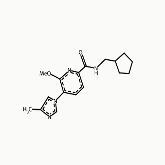 COc1nc(C(=O)NCC2CCCC2)ccc1-n1cnc(C)c1